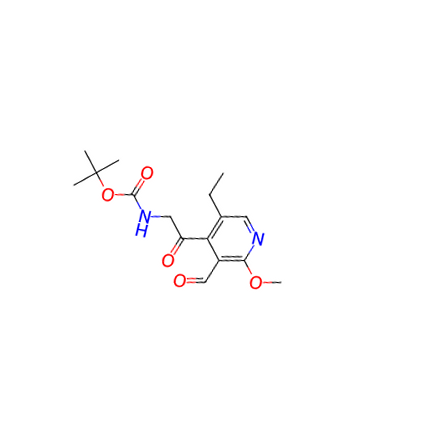 CCc1cnc(OC)c(C=O)c1C(=O)CNC(=O)OC(C)(C)C